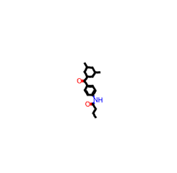 CCCC(=O)Nc1ccc(C(=O)C2CC(C)CC(C)C2)cc1